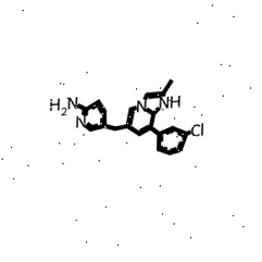 CC1=CN2C=C(Cc3ccc(N)nc3)C=C(c3cccc(Cl)c3)C2N1